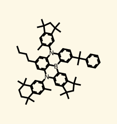 CCCCc1cc2c3c(c1)N(c1cc4c(cc1C)C(C)(C)CCC4(C)C)c1cc4c(cc1B3c1cc(C(C)(C)c3ccccc3)ccc1N2c1cc2c(cc1C)C(C)(C)CC2(C)C)C(C)(C)CC4(C)C